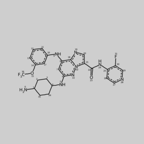 NC1CCC(Nc2cc(Nc3cccc(OC(F)(F)F)c3)c3ncc(C(=O)Nc4ccncc4F)n3n2)CC1